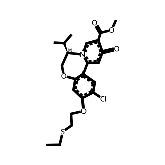 CCSCCOc1cc2c(cc1Cl)-c1cc(=O)c(C(=O)OC)cn1[C@H](C(C)C)CO2